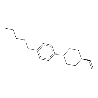 C=C[C@H]1CC[C@H](c2ccc(COCCC)cc2)CC1